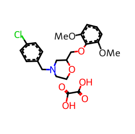 COc1cccc(OC)c1OCC1CN(Cc2ccc(Cl)cc2)CCO1.O=C(O)C(=O)O